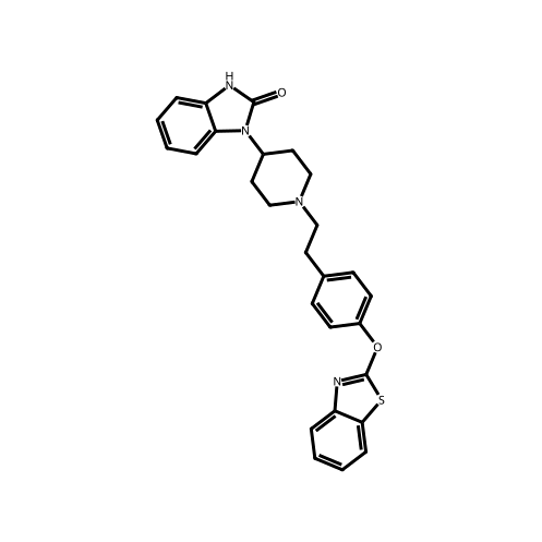 O=c1[nH]c2ccccc2n1C1CCN(CCc2ccc(Oc3nc4ccccc4s3)cc2)CC1